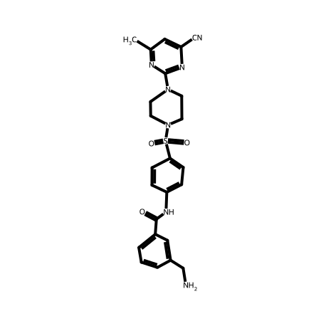 Cc1cc(C#N)nc(N2CCN(S(=O)(=O)c3ccc(NC(=O)c4cccc(CN)c4)cc3)CC2)n1